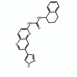 O=C(Nc1ccc2ncc(-c3cn[nH]c3)cc2n1)NC1CCCc2ccccc21